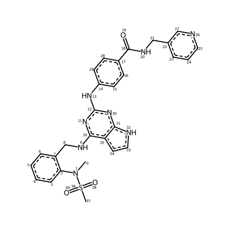 CN(c1ccccc1CNc1nc(Nc2ccc(C(=O)NCc3cccnc3)cc2)nc2[nH]ccc12)S(C)(=O)=O